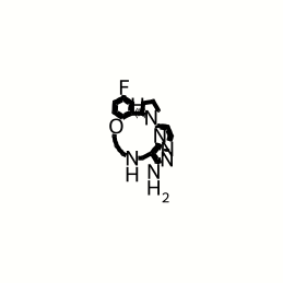 Nc1nn2ccc3nc2c1CNCCCOc1ccc(F)cc1[C@H]1CCCN31